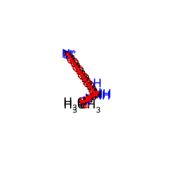 CC(C)(C)OC(=O)N1CCN(CCOCC2=C(CCOCCOCCOCCOCCOCCOCCOCCOCCOCCN=[N+]=[N-])NNN2)CC1